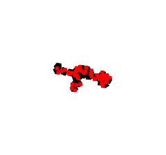 c1ccc(-c2cc(-c3ccc(-c4ccc(N(c5ccccc5-c5cccc6cccc(-c7ccccc7)c56)c5cccc6ccccc56)cc4)c4ccc5ccccc5c34)cc3cccc(-c4ccccc4N(c4ccc(-c5ccc(-c6cccc7ccccc67)cc5)cc4)c4ccc(-c5cccc6c5ccc5ccccc56)cc4)c23)cc1